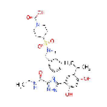 CCNC(=O)c1nnc(-c2cc(C(C)C)c(O)cc2O)n1-c1ccc2c(c1)CN(S(=O)(=O)C1CCN(C(=O)O)CC1)C2